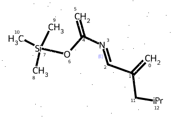 C=C(/C=N/C(=C)O[Si](C)(C)C)CC(C)C